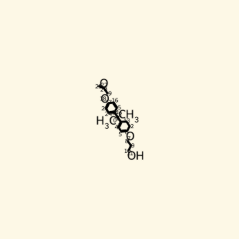 CC(C)(C1=CC=C(OCCCO)CC1)c1ccc(OCC2CO2)cc1